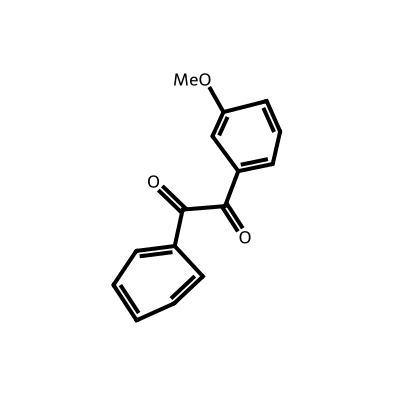 COc1cccc(C(=O)C(=O)c2ccccc2)c1